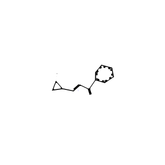 C[C@H]1CC1/C=C/C(=O)c1ccccc1